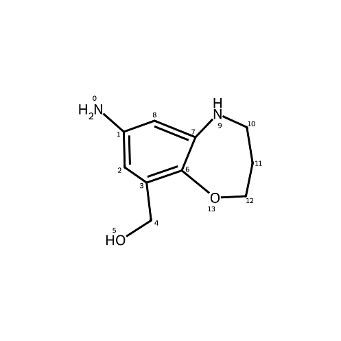 Nc1cc(CO)c2c(c1)NCCCO2